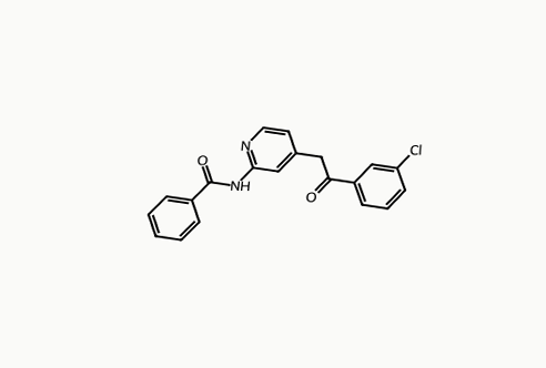 O=C(Cc1ccnc(NC(=O)c2ccccc2)c1)c1cccc(Cl)c1